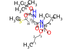 CCCCOC(=O)[C@H](CC(C)C)NC(=O)[C@H](CCSC)NC(=O)OC(C)(C)C